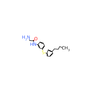 CCCCc1cccc(Sc2cccc(NC(=O)CN)c2)c1